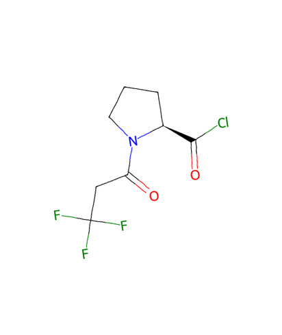 O=C(Cl)[C@@H]1CCCN1C(=O)CC(F)(F)F